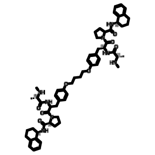 CN[C@@H](C)C(=O)NC(Cc1ccc(OCCCCOc2ccc(C[C@H](NC(=O)[C@H](C)NC)C(=O)N3CCCC3C(=O)N[C@@H]3CCCc4ccccc43)cc2)cc1)C(=O)N1CCC[C@H]1C(=O)N[C@@H]1CCCc2ccccc21